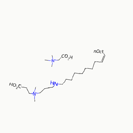 CCCCCCCC/C=C\CCCCCCCCNCCC[N+](C)(C)CCC(=O)O.C[N+](C)(C)CC(=O)O